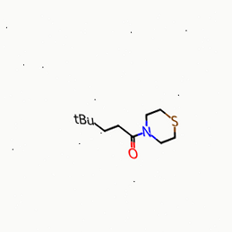 CC(C)(C)CCC(=O)N1CCSCC1